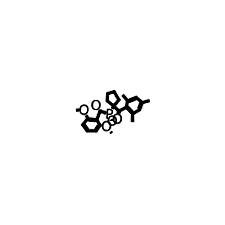 COc1cccc(OC)c1C(=O)[P](=O)C1(C(=O)c2c(C)cc(C)cc2C)CCCC1